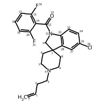 C=CCCN1CCC2(CC1)CN(C(=O)c1c(F)cccc1F)c1ccc(Cl)cc12